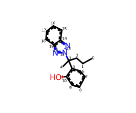 CCCC(C)(c1ccccc1O)n1nc2ccccc2n1